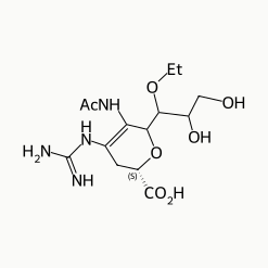 CCOC(C(O)CO)C1O[C@H](C(=O)O)CC(NC(=N)N)=C1NC(C)=O